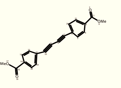 COC(=O)c1ccc(C#CC#Cc2ccc(C(=O)OC)cc2)cc1